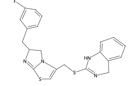 Fc1cccc(CC2CN3C(CSC4=NCc5ccccc5N4)=CSC3=N2)c1